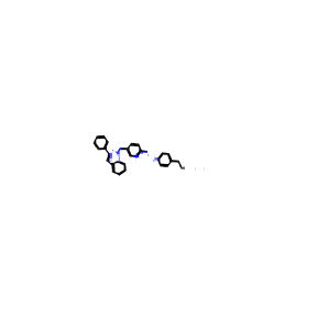 O=C(O)CCc1ccc(NCc2ccc(Cn3c(-c4ccccc4)cc4ccccc43)cc2)cc1